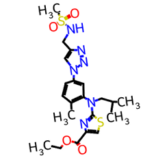 CCOC(=O)c1csc(N(CC(C)C)c2cc(-n3cc(CNS(C)(=O)=O)nn3)ccc2C)n1